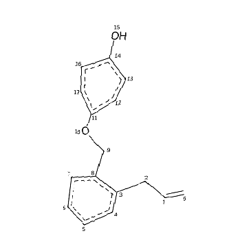 C=CCc1ccccc1COc1ccc(O)cc1